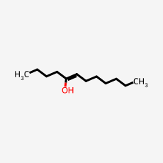 CCCCCCC=C(O)CCCC